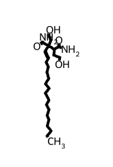 CCCCCCCCCCCCCCCCC=CC(CCO)(C(N)=O)C(CCO)C(N)=O